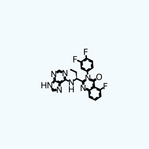 CC[C@H](Nc1ncnc2[nH]cnc12)c1nc2cccc(F)c2c(=O)n1-c1ccc(F)c(F)c1